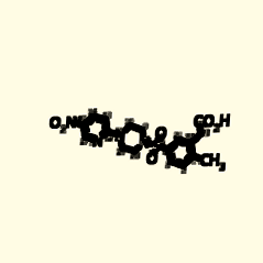 Cc1ccc(S(=O)(=O)N2CCN(c3ccc([N+](=O)[O-])cn3)CC2)cc1CC(=O)O